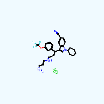 Cl.Cl.N#Cc1ccc2c(c1)c(C(CCNCCCN)c1cccc(OC(F)(F)F)c1)cn2C1CCCCC1